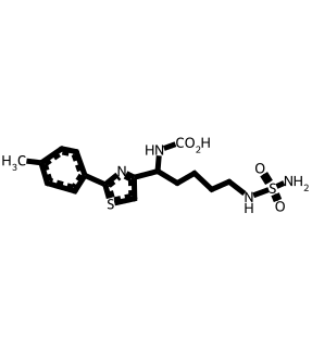 Cc1ccc(-c2nc(C(CCCCNS(N)(=O)=O)NC(=O)O)cs2)cc1